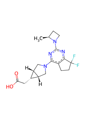 C[C@H]1CCN1c1nc(N2C[C@@H]3[C@H](CC(=O)O)[C@@H]3C2)c2c(n1)C(F)(F)CC2